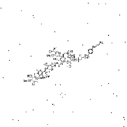 CCN(C(C)=O)[C@H]1CO[C@@H](OC2C(O)[C@H](NO[C@H]3CC(O)[C@H](SC(=O)c4c(C)c(I)c(O[C@@H]5OC(C)[C@H](O)C(OC)C5O)c(OC)c4OC)C(C)O3)C(C)O[C@H]2O[C@H]2CC=C[C@]3(O)CC(=O)C(NC(=O)CO)=C2/C3=C\CSSC(C)(C)CC(=O)N/N=C(\C)c2ccc(OCCCC(C)=O)cc2)CC1OC